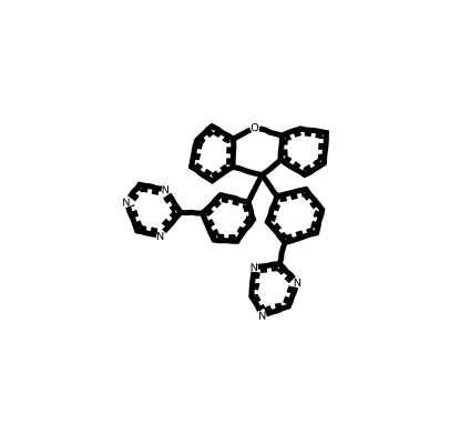 c1cc(-c2ncncn2)cc(C2(c3cccc(-c4ncncn4)c3)c3ccccc3Oc3ccccc32)c1